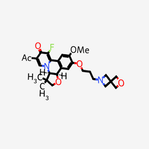 COc1cc2c(cc1OCCCN1CC3(COC3)C1)[C@H]1OCC(C)(C)[C@H]1n1cc(C(C)=O)c(=O)c(F)c1-2